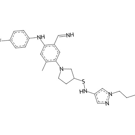 CCCn1cc(NSC2CCN(c3cc(C=N)c(Nc4ccc(F)cc4)cc3C)C2)cn1